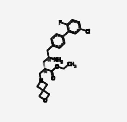 CCOC(=O)[C@@H](C[C@H](N)Cc1ccc(-c2cc(Cl)ccc2F)cc1)CN1CC2(COC2)C1